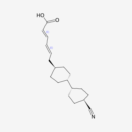 N#C[C@H]1CC[C@H]([C@H]2CC[C@H](C/C=C/C=C/C(=O)O)CC2)CC1